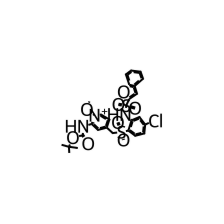 CO[n+]1ccc(CS(=O)(=O)c2ccc(Cl)cc2NS(=O)(=O)c2cc3ccccc3o2)cc1NC(=O)OC(C)(C)C